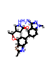 Cc1nc2cc(-c3ccc4c(c3)c(N)nn4C)cc(OC(C)C3CNC(=O)C3)c2s1